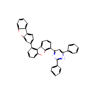 c1ccc(-c2cc(-c3cccc4c3oc3cccc(-c5ccc6c(c5)oc5ccccc56)c34)nc(-c3ccccc3)n2)cc1